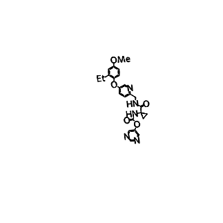 CCc1cc(OC)ccc1Oc1ccc(CNC(=O)C2(NC(=O)Oc3cncnc3)CC2)nc1